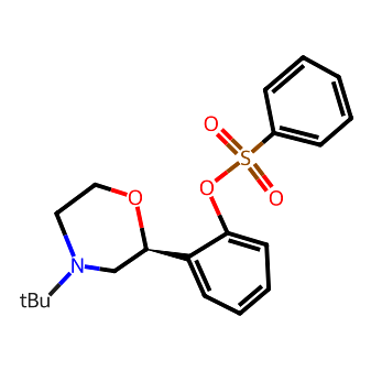 CC(C)(C)N1CCO[C@@H](c2ccccc2OS(=O)(=O)c2ccccc2)C1